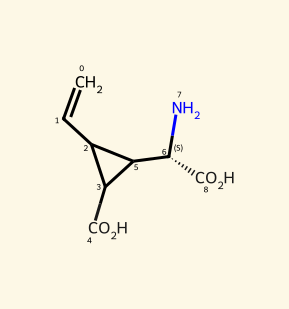 C=CC1C(C(=O)O)C1[C@H](N)C(=O)O